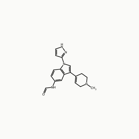 CN1CC=C(c2cn(-c3cc[nH]n3)c3ccc(NC=O)cc23)CC1